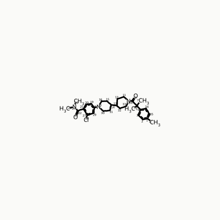 Cc1ccc(C(C)(C)C(=O)N2CCC(C3CCN(c4ccc(C(=O)N(C)C)c(Cl)c4)CC3)CC2)cc1